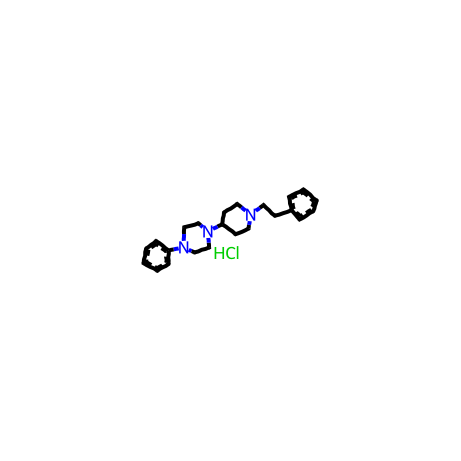 Cl.c1ccc(CCN2CCC(N3CCN(c4ccccc4)CC3)CC2)cc1